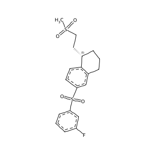 CS(=O)(=O)CC[C@@H]1CCCc2cc(S(=O)(=O)c3cccc(F)c3)ccc21